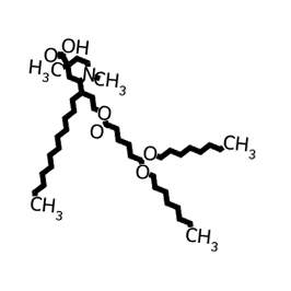 CCCCCCCCCCCCC(CCOC(=O)CCCCC(OCCCCCCCC)OCCCCCCCC)C1CC(C)(C(=O)O)CCN1C